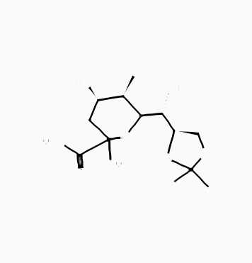 COC(=O)C1(OC)C[C@@H](O)[C@@H](C)C([C@H](O)[C@H]2COC(C)(C)O2)O1